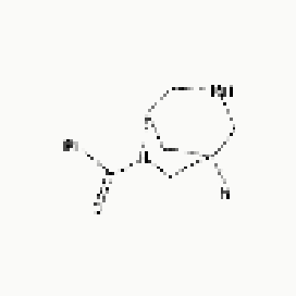 CC(C)C(=O)N1C[C@@H]2CNCC1C2